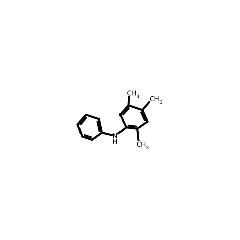 Cc1cc(C)c(Nc2ccccc2)cc1C